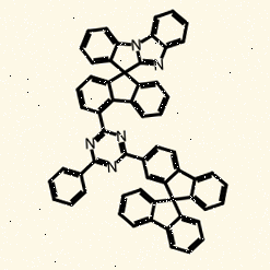 c1ccc(-c2nc(-c3ccc4c(c3)C3(c5ccccc5-c5ccccc53)c3ccccc3-4)nc(-c3cccc4c3-c3ccccc3C43c4ccccc4-n4c3nc3ccccc34)n2)cc1